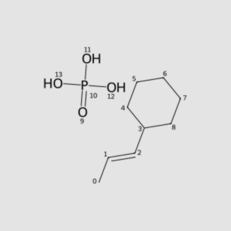 CC=CC1CCCCC1.O=P(O)(O)O